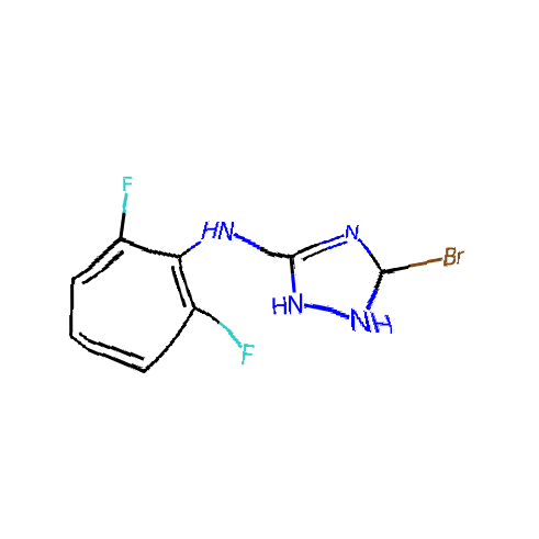 Fc1cccc(F)c1NC1=NC(Br)NN1